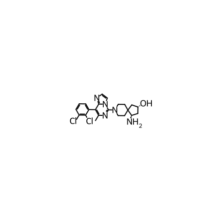 Cc1nc(N2CCC3(CC2)C[C@H](O)C[C@H]3N)n2ccnc2c1-c1cccc(Cl)c1Cl